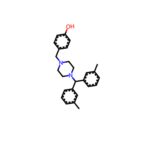 Cc1cccc(C(c2cccc(C)c2)N2CCN(Cc3ccc(O)cc3)CC2)c1